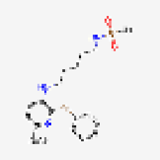 COc1ccc(NCCCCCNS(=O)(=O)C(C)C)c(Sc2ccccc2)n1